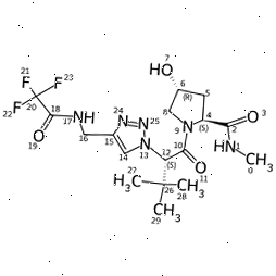 CNC(=O)[C@@H]1C[C@@H](O)CN1C(=O)[C@@H](n1cc(CNC(=O)C(F)(F)F)nn1)C(C)(C)C